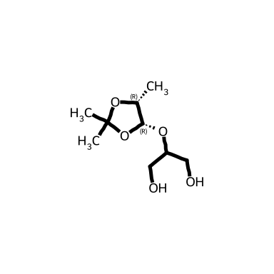 C[C@H]1OC(C)(C)O[C@H]1OC(CO)CO